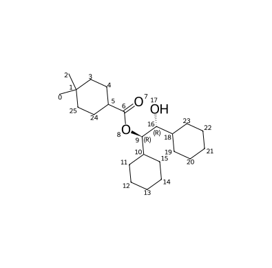 CC1(C)CCC(C(=O)O[C@H](C2CCCCC2)[C@H](O)C2CCCCC2)CC1